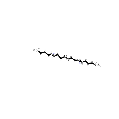 CCCC/N=N/CCSSCC/N=N/CCCC